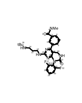 CNC(=O)c1cccc(-c2nc(NCCCNC(C)(C)C)nc3c2CNC(=O)N3c2c(F)cccc2F)c1